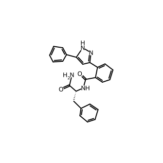 NC(=O)[C@@H](Cc1ccccc1)NC(=O)c1ccccc1-c1cc(-c2ccccc2)[nH]n1